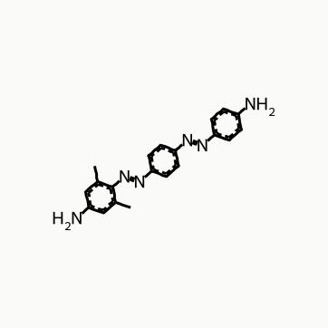 Cc1cc(N)cc(C)c1N=Nc1ccc(N=Nc2ccc(N)cc2)cc1